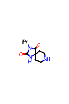 CC(C)N1C(=O)NC2(CCNCC2)C1=O